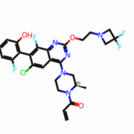 C=CC(=O)N1CCN(c2nc(OCCN3CC(F)(F)C3)nc3c(F)c(-c4c(O)cccc4F)c(Cl)cc23)C[C@H]1C